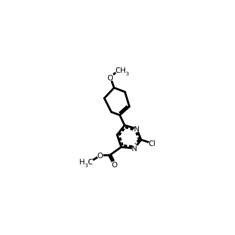 COC(=O)c1cc(C2=CCC(OC)CC2)nc(Cl)n1